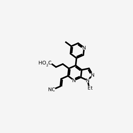 CCn1ncc2c(-c3cncc(C)c3)c(CCC(=O)O)c(/C=C/C#N)nc21